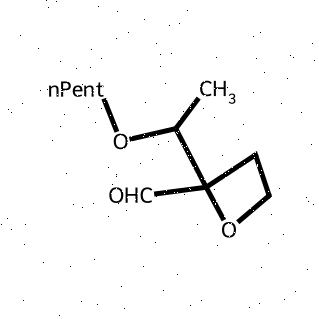 CCCCCOC(C)C1(C=O)CCO1